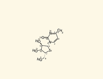 Cc1ccn([C@@H]2S[C@H](CO)C(O)[C@H]2O)c(=O)n1